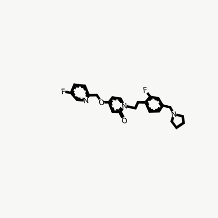 O=c1cc(OCc2ccc(F)cn2)ccn1CCc1ccc(CN2CCCC2)cc1F